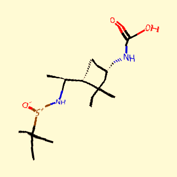 C[C@H](N[S+]([O-])C(C)(C)C)[C@@H]1C[C@H](NC(=O)O)C1(C)C